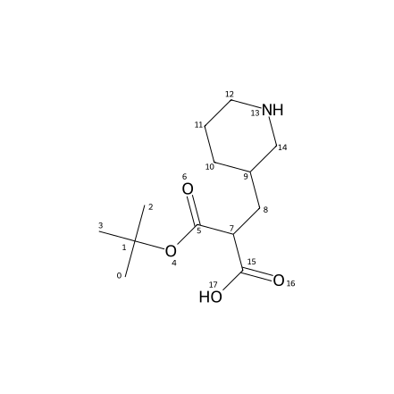 CC(C)(C)OC(=O)C(CC1CCCNC1)C(=O)O